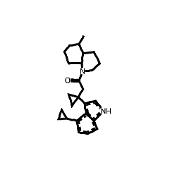 CC1CCCC2C1CCCN2C(=O)CC1(c2c[nH]c3cccc(C4CC4)c23)CC1